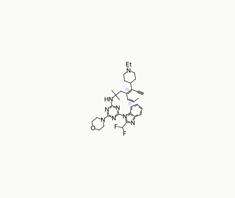 C#C/C(=C(\C=C/C)CC(C)(C)Nc1nc(N2CCOCC2)nc(-n2c(C(F)F)nc3ccccc32)n1)C1CCN(CC)CC1